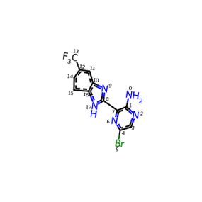 Nc1ncc(Br)nc1-c1nc2cc(C(F)(F)F)ccc2[nH]1